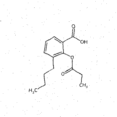 CCCCc1cccc(C(=O)O)c1OC(=O)CC